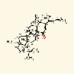 C=C/C=C(\C)C1=CC(=O)[C@]2(C)[C@H]3CC[C@@H]4[C@H]5[C@H](C(=C)C)CC[C@]5(C(=O)O)CC[C@@]4(C)[C@]3(C)CC[C@H]2C1(C)C